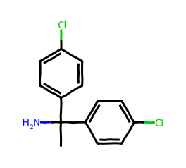 CC(N)(c1ccc(Cl)cc1)c1ccc(Cl)cc1